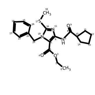 CCOC(=O)c1c(NC(=O)C2CCCC2)nc(SC)n1Cc1ccccc1